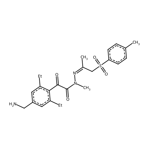 CCc1cc(CN)cc(CC)c1C(=O)C(=O)N(C)N=C(C)CS(=O)(=O)c1ccc(C)cc1